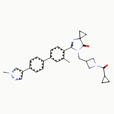 Cc1cc(-c2ccc(-c3cnn(C)c3)cc2)ccc1C1=NC2(CC2)C(=O)N1CC1CN(C(=O)C2CC2)C1